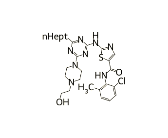 CCCCCCCc1nc(Nc2ncc(C(=O)Nc3c(C)cccc3Cl)s2)nc(N2CCN(CCO)CC2)n1